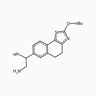 CCCCOc1nc2c(s1)-c1ccc(C(CN)CCC)cc1CC2